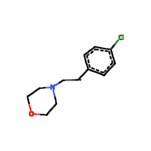 Clc1ccc([CH]CN2CCOCC2)cc1